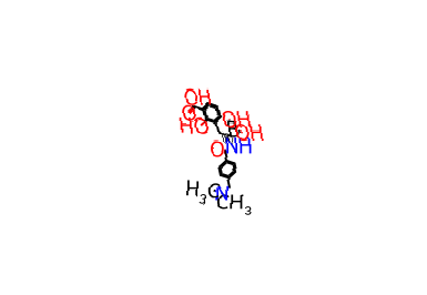 CN(C)Cc1ccc(C(=O)N[C@@H](Cc2cccc(C(=O)O)c2O)B(O)O)cc1